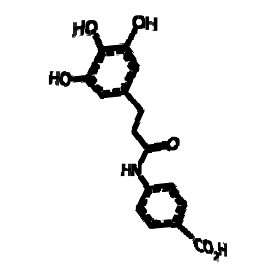 O=C(CCc1cc(O)c(O)c(O)c1)Nc1ccc(C(=O)O)cc1